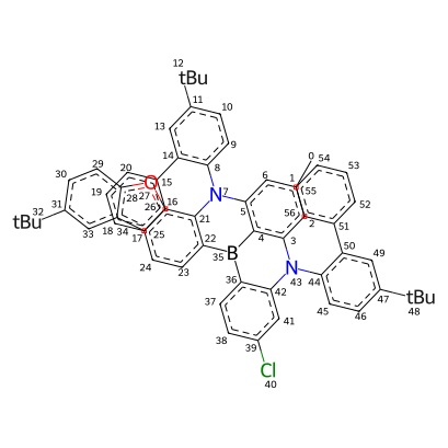 Cc1cc2c3c(c1)N(c1ccc(C(C)(C)C)cc1-c1ccccc1)c1c(ccc4c1oc1ccc(C(C)(C)C)cc14)B3c1ccc(Cl)cc1N2c1ccc(C(C)(C)C)cc1-c1ccccc1